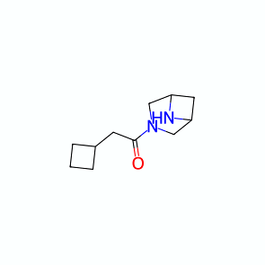 O=C(CC1CCC1)N1CC2CC(C1)N2